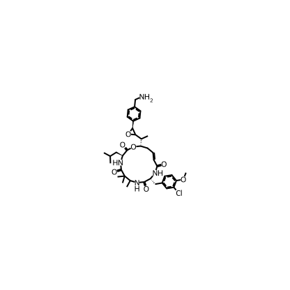 COc1ccc(C[C@H]2NC(=O)/C=C/C[C@@H](C(C)C3O[C@H]3c3ccc(CN)cc3)OC(=O)[C@H](CC(C)C)NC(=O)C(C)(C)C(C)NC2=O)cc1Cl